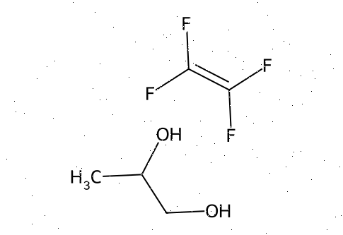 CC(O)CO.FC(F)=C(F)F